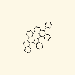 C1=Cc2c(n(-c3c4ccccc4c(-c4ccccc4)c4ccccc34)c3c4ccccc4c4ccc5ccccc5c4c23)CC1